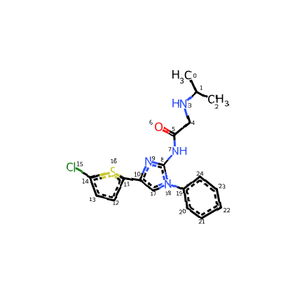 CC(C)NCC(=O)Nc1nc(-c2ccc(Cl)s2)cn1-c1ccccc1